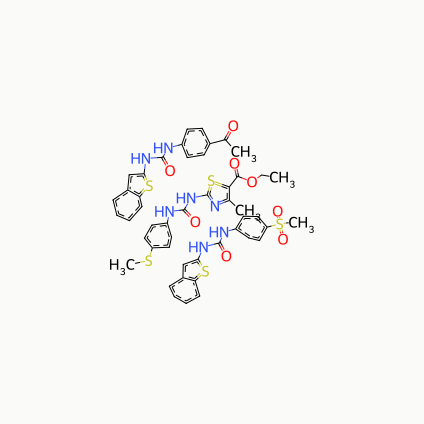 CC(=O)c1ccc(NC(=O)Nc2cc3ccccc3s2)cc1.CCOC(=O)c1sc(NC(=O)Nc2ccc(SC)cc2)nc1C.CS(=O)(=O)c1ccc(NC(=O)Nc2cc3ccccc3s2)cc1